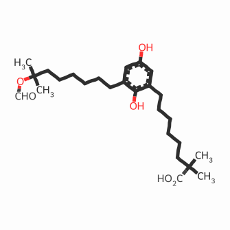 CC(C)(CCCCCCc1cc(O)cc(CCCCCCC(C)(C)C(=O)O)c1O)OC=O